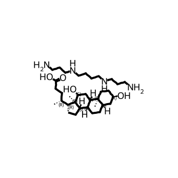 C[C@H](CCC(=O)O)[C@H]1CC[C@H]2[C@@H]3CC[C@@H]4C[C@H](O)CC[C@]4(C)[C@H]3C[C@H](O)[C@]12C.NCCCNCCCCNCCCN